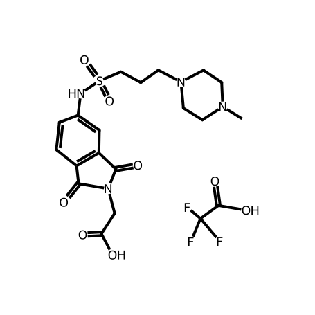 CN1CCN(CCCS(=O)(=O)Nc2ccc3c(c2)C(=O)N(CC(=O)O)C3=O)CC1.O=C(O)C(F)(F)F